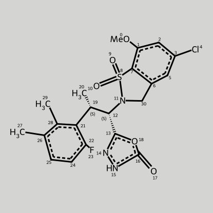 COc1cc(Cl)cc2c1S(=O)(=O)N([C@H](c1n[nH]c(=O)o1)[C@@H](C)c1c(F)ccc(C)c1C)C2